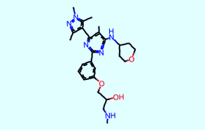 CNCC(O)COc1cccc(-c2nc(NC3CCOCC3)c(C)c(-c3c(C)nn(C)c3C)n2)c1